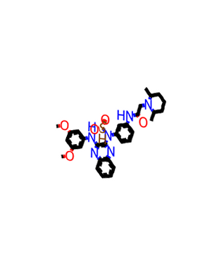 COc1cc(Nc2nc3ccccc3nc2N(c2cccc(NC(=O)CN3C(C)CCCC3C)c2)[SH](=O)=O)cc(OC)c1